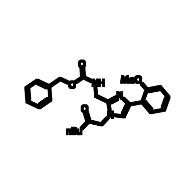 CCCCC(=O)Cn1cc(-c2ccccc2OC)nc1CNC(=O)OCc1ccccc1